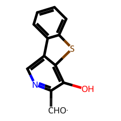 O=[C]c1ncc2c(sc3ccccc32)c1O